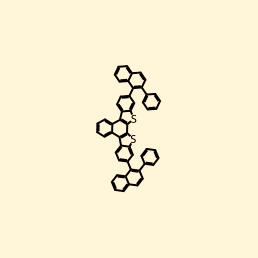 c1ccc(-c2ccc3ccccc3c2-c2ccc3c(c2)sc2c4sc5cc(-c6c(-c7ccccc7)ccc7ccccc67)ccc5c4c4ccccc4c32)cc1